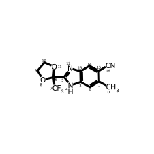 Cc1cc2[nH]c(C3(C(F)(F)F)OCCO3)nc2cc1C#N